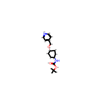 CC(C)(C)OC(=O)N[C@H]1CC[C@H](OCc2ccncc2)CC1